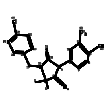 CC1(C)C(=O)N(c2ccc(C#N)c(C(F)(F)F)c2)C(=S)N1Cc1ccc(Cl)nc1